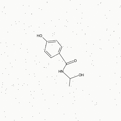 CC(O)NC(=O)c1ccc(O)cc1